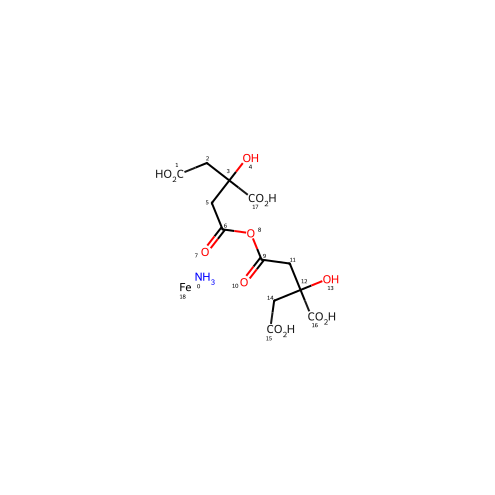 N.O=C(O)CC(O)(CC(=O)OC(=O)CC(O)(CC(=O)O)C(=O)O)C(=O)O.[Fe]